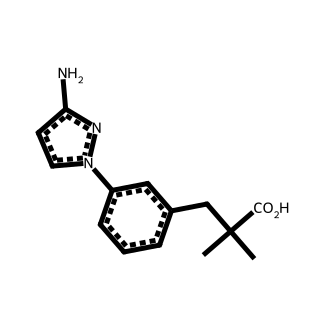 CC(C)(Cc1cccc(-n2ccc(N)n2)c1)C(=O)O